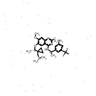 COc1cc2nc(C)nc(N[C@H](C)c3cc(N)cc(C(F)(F)F)c3)c2cc1O[C@@H](C)C1(CN(C)C)CC1